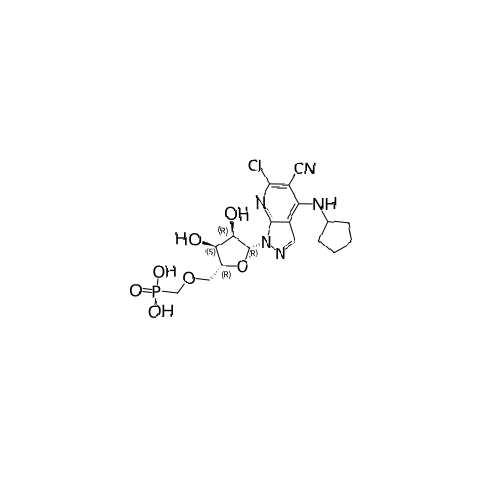 N#Cc1c(Cl)nc2c(cnn2[C@@H]2O[C@H](COCP(=O)(O)O)[C@@H](O)[C@H]2O)c1NC1CCCC1